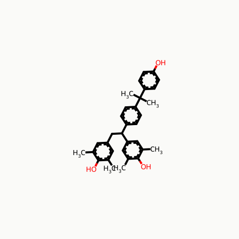 Cc1cc(CC(c2ccc(C(C)(C)c3ccc(O)cc3)cc2)c2cc(C)c(O)c(C)c2)cc(C)c1O